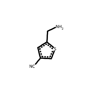 N#Cc1csc(CN)c1